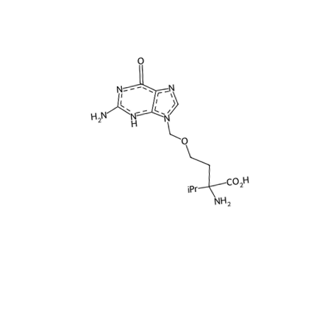 CC(C)C(N)(CCOCn1cnc2c(=O)nc(N)[nH]c21)C(=O)O